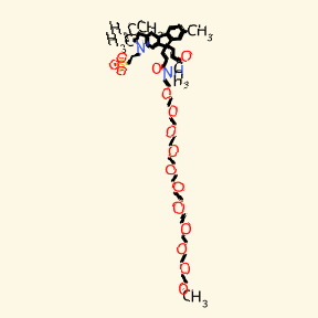 COCCOCCOCCOCCOCCOCCOCCOCCOCCOCCOCCNC(=O)CCC1(CCC(C)=O)c2cc(C)ccc2-c2cc3c(cc21)[N+](CCCS(=O)(=O)[O-])=C(C)C3(C)C